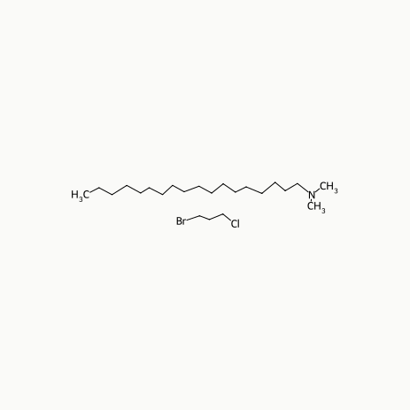 CCCCCCCCCCCCCCCCCCN(C)C.ClCCCBr